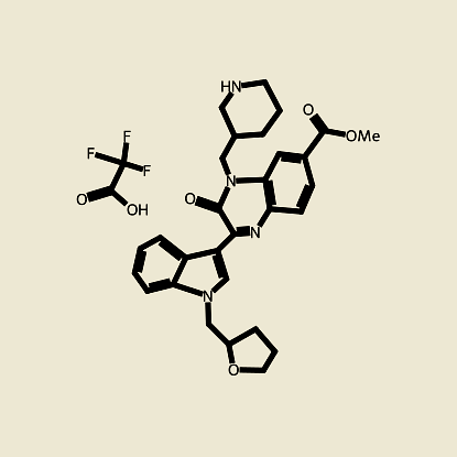 COC(=O)c1ccc2nc(-c3cn(CC4CCCO4)c4ccccc34)c(=O)n(CC3CCCNC3)c2c1.O=C(O)C(F)(F)F